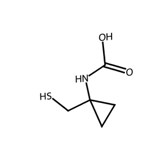 O=C(O)NC1(CS)CC1